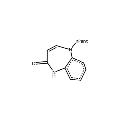 CCCCCN1C=CC(=O)Nc2ccccc21